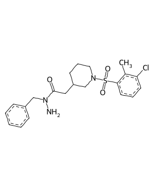 Cc1c(Cl)cccc1S(=O)(=O)N1CCCC(CC(=O)N(N)Cc2ccccc2)C1